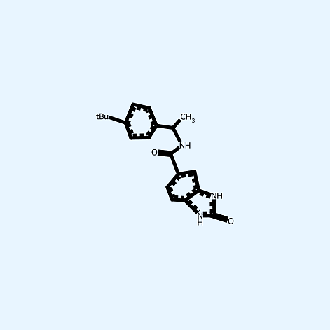 CC(NC(=O)c1ccc2[nH]c(=O)[nH]c2c1)c1ccc(C(C)(C)C)cc1